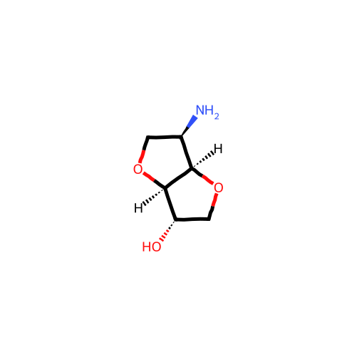 N[C@@H]1CO[C@H]2[C@@H]1OC[C@@H]2O